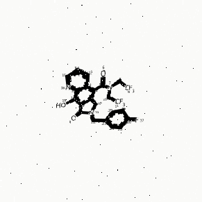 O=C1c2c(c(C(=O)N(CC(F)(F)F)CC(F)(F)F)c3cccnc3c2O)CN1Cc1ccc(F)cc1